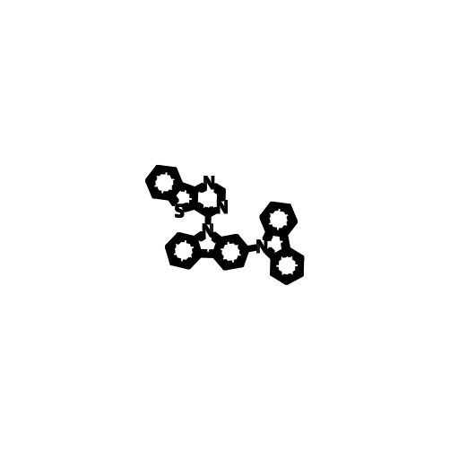 c1ccc2c(c1)sc1c(-n3c4ccccc4c4ccc(-n5c6ccccc6c6ccccc65)cc43)ncnc12